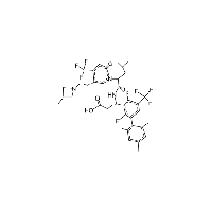 Cc1cc(C)c(-c2cc(C(F)(F)F)c(F)c(C(CC(=O)O)NC(=O)C(CC(C)C)n3cc(CCN4CC(C)C4)c(C(F)(F)F)cc3=O)c2F)c(C)c1